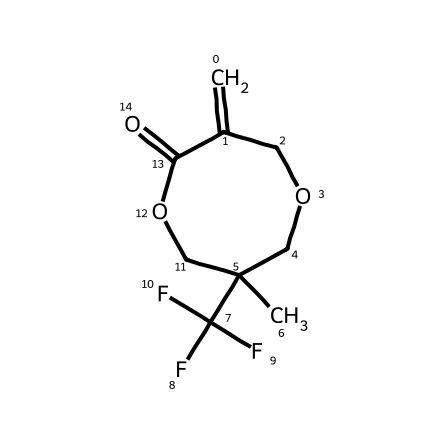 C=C1COCC(C)(C(F)(F)F)COC1=O